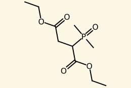 CCOC(=O)CC(C(=O)OCC)P(C)(C)=O